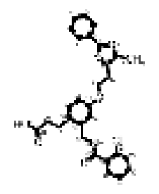 Cc1oc(-c2ccccc2)nc1CCOc1ccc(CCC(=O)O)c(CNC(=O)c2ccccc2Cl)c1